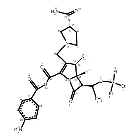 CC[Si](CC)(CC)OC(C)[C@H]1C(=O)N2C(C(=O)OC(=O)c3ccc([N+](=O)[O-])cc3)=C(CN3CC[C@@H](C(N)=O)C3)[C@H](C)[C@H]12